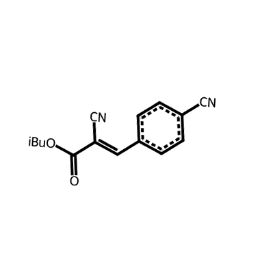 CC(C)COC(=O)/C(C#N)=C/c1ccc(C#N)cc1